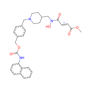 COC(=O)/C=C/C(=O)N(O)CC1CCN(Cc2ccc(COC(=O)Nc3cccc4ccccc34)cc2)CC1